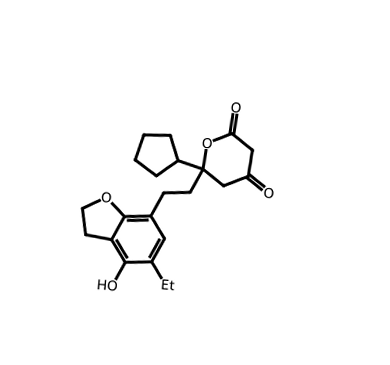 CCc1cc(CCC2(C3CCCC3)CC(=O)CC(=O)O2)c2c(c1O)CCO2